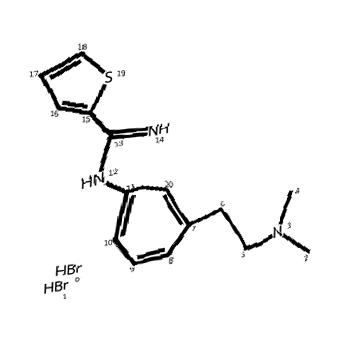 Br.Br.CN(C)CCc1cccc(NC(=N)c2cccs2)c1